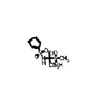 CCC(NS(=O)(=O)c1ccccc1)(C(=O)O)S(C)(=O)=O